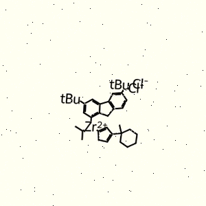 C[C](C)=[Zr+2]([C]1=CC(C2(C)CCCCC2)=CC1)[c]1cc(C(C)(C)C)cc2c1Cc1ccc(C(C)(C)C)cc1-2.[Cl-].[Cl-]